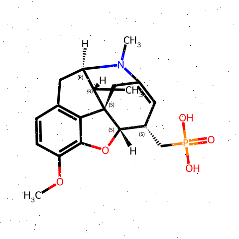 COc1ccc2c3c1O[C@H]1[C@@H](CP(=O)(O)O)C=C4C[C@]31[C@@H](C)[C@@H](C2)N4C